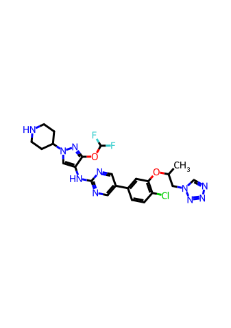 CC(Cn1cnnn1)Oc1cc(-c2cnc(Nc3cn(C4CCNCC4)nc3OC(F)F)nc2)ccc1Cl